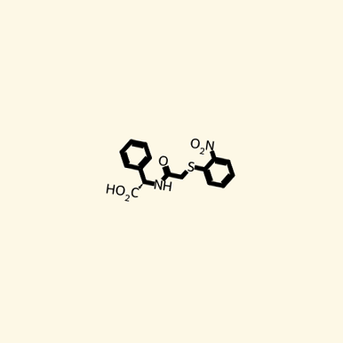 O=C(CSc1ccccc1[N+](=O)[O-])N[C@H](C(=O)O)c1ccccc1